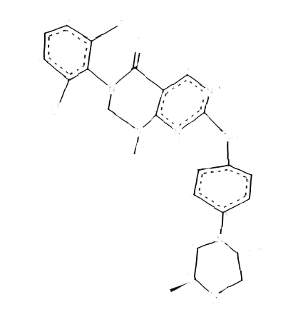 C[C@@H]1CN[C@@H](C)CN1c1ccc(Nc2ncc3c(n2)N(C)CN(c2c(F)cccc2Cl)C3=O)cc1